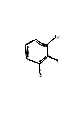 Brc1c[c]cc(Br)c1I